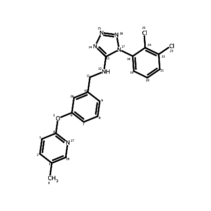 Cc1ccc(Oc2cccc(CNc3nnnn3-c3cccc(Cl)c3Cl)c2)nc1